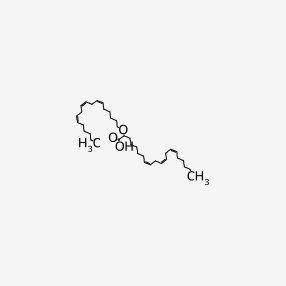 CCCCC/C=C\C/C=C\C/C=C\CCCCCOC(CCCCC/C=C\C/C=C\C/C=C\CCCCC)C(=O)O